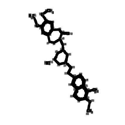 COc1cc2c(cc1OC)CC(=O)N(CC1CCCN(CCc3ccc4c(C)c(OC)ccc4c3)C1)CC2.Cl